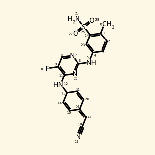 Cc1ccc(Nc2ncc(F)c(NC3C=CC(=CC#N)C=C3)n2)cc1S(N)(=O)=O